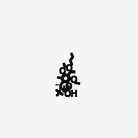 C=C(OCCCC)c1c(OCC)cc([C@@H](C)N(C(=O)O)C(C)(C)C)c(C)c1OCC